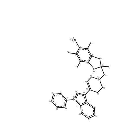 Cc1c(C)c2c(c(C)c1N)CC(C)(CN1CC=C(c3cn(-c4ccccc4)c4ccccc34)CC1)O2